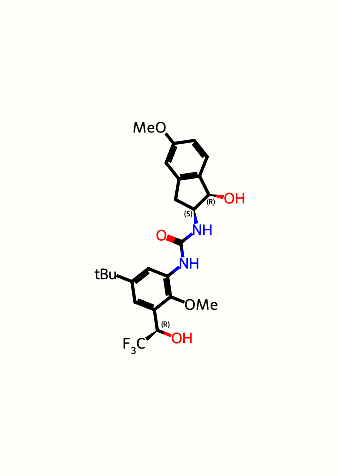 COc1ccc2c(c1)C[C@H](NC(=O)Nc1cc(C(C)(C)C)cc([C@@H](O)C(F)(F)F)c1OC)[C@@H]2O